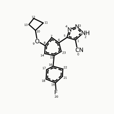 N#Cc1[nH]nnc1-c1cc(OC2CCC2)cc(-c2ccc(F)cc2)c1